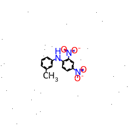 Cc1cccc(Nc2ccc([N+](=O)[O-])cc2[N+](=O)[O-])c1